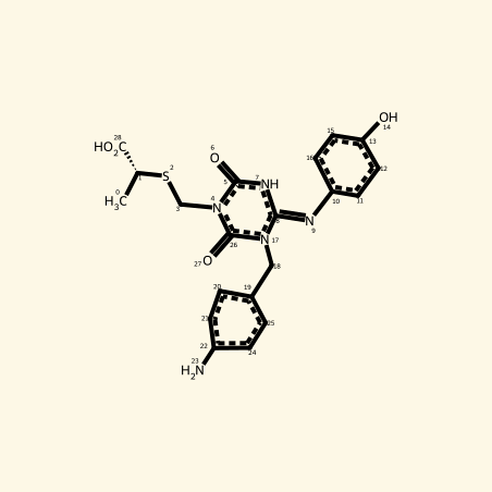 C[C@@H](SCn1c(=O)[nH]/c(=N\c2ccc(O)cc2)n(Cc2ccc(N)cc2)c1=O)C(=O)O